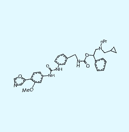 CCCN(CC1CC1)CC(OC(=O)NCc1cccc(NC(=O)Nc2ccc(-c3cnco3)c(OC)c2)c1)c1ccccc1